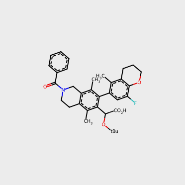 Cc1c(-c2c(C)c3c(c(C)c2C(OC(C)(C)C)C(=O)O)CCN(C(=O)c2ccccc2)C3)cc(F)c2c1CCCO2